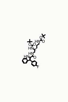 CC(C)(C)OC(=O)NCCC[C@@H](CNC(=O)c1[nH]c2ccccc2c1-c1ccc(F)cc1)NC(=O)OC(C)(C)C